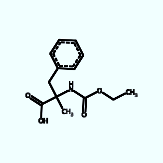 CCOC(=O)NC(C)(Cc1ccccc1)C(=O)O